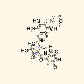 Bc1c(O)c(CN2CCOCC2)c(O)c(F)c1CN/C(O)=C1\CN(C2(O)CCC(=O)NC2=O)C(=O)\C1=C(/O)C(=C)O